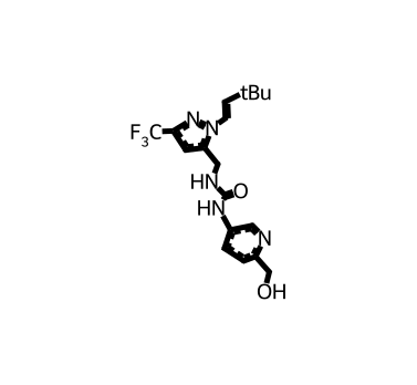 CC(C)(C)C=Cn1nc(C(F)(F)F)cc1CNC(=O)Nc1ccc(CO)nc1